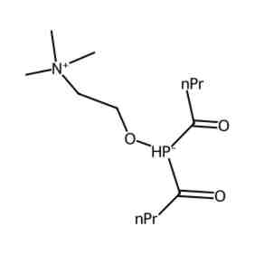 CCCC(=O)[PH-](OCC[N+](C)(C)C)C(=O)CCC